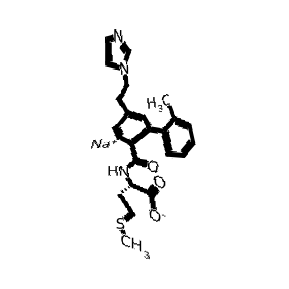 CSCC[C@H](NC(=O)c1ccc(CCn2ccnc2)cc1-c1ccccc1C)C(=O)[O-].[Na+]